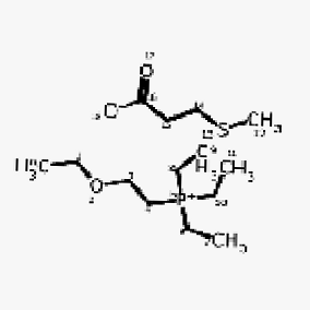 CCOCC[P+](CC)(CC)CC.CSCCC(=O)[O-]